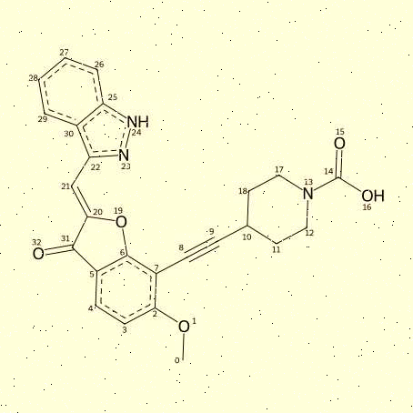 COc1ccc2c(c1C#CC1CCN(C(=O)O)CC1)OC(=Cc1n[nH]c3ccccc13)C2=O